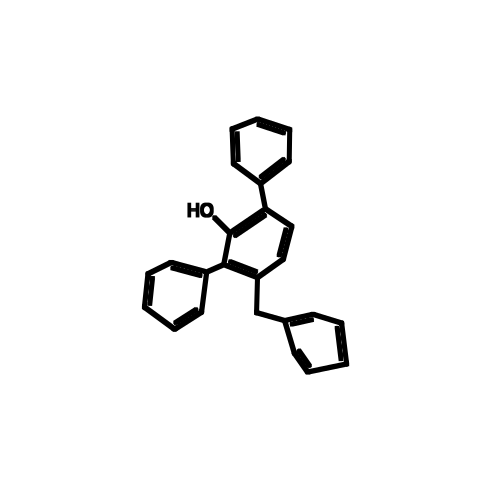 Oc1c(-c2ccccc2)ccc(Cc2ccccc2)c1-c1ccccc1